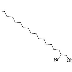 CCCCCCCCCCCCCCCCC(Br)CO